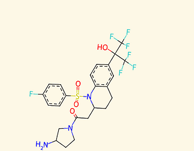 NC1CCN(C(=O)CC2CCc3cc(C(O)(C(F)(F)F)C(F)(F)F)ccc3N2S(=O)(=O)c2ccc(F)cc2)C1